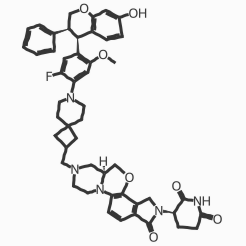 COc1cc(N2CCC3(CC2)CC(CN2CCN4c5ccc6c(c5OC[C@@H]4C2)CN([C@@H]2CCC(=O)NC2=O)C6=O)C3)c(F)cc1[C@@H]1c2ccc(O)cc2OC[C@@H]1c1ccccc1